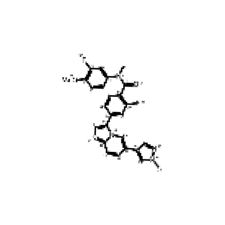 COc1ccc(N(C)C(=O)c2ccc(-c3cnc4ccc(-c5cnn(C)c5)cn34)cc2F)cc1F